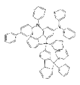 C1=CC2c3ccc(C4(c5ccccc5)c5ccccc5-c5c(N(c6ccccc6)c6ccc(-c7ccccc7)cc6)cc(N(c6ccccc6)c6ccccc6)cc54)cc3C(c3ccccc3)(c3ccccc3)C2C=C1